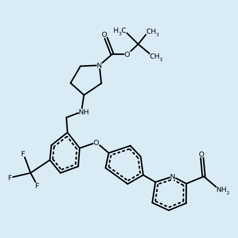 CC(C)(C)OC(=O)N1CCC(NCc2cc(C(F)(F)F)ccc2Oc2ccc(-c3cccc(C(N)=O)n3)cc2)C1